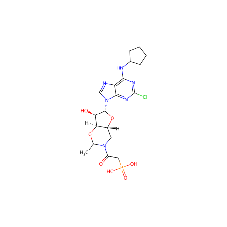 CC1O[C@H]2[C@@H](O)[C@H](n3cnc4c(NC5CCCC5)nc(Cl)nc43)O[C@@H]2CN1C(=O)CP(=O)(O)O